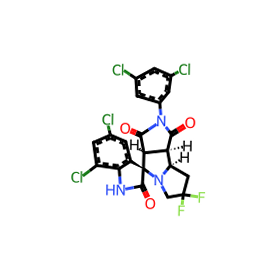 O=C1[C@H]2[C@H]3CC(F)(F)CN3[C@]3(C(=O)Nc4c(Cl)cc(Cl)cc43)[C@H]2C(=O)N1c1cc(Cl)cc(Cl)c1